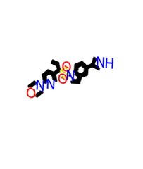 C=CC(c1ccc(N2CCOCC2)nc1)S(=O)(=O)n1ccc2cc(C3CNC3)ccc21